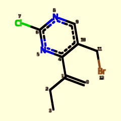 C=C(CC)c1nc(Cl)ncc1CBr